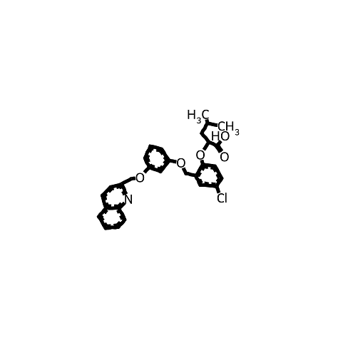 CC(C)CC(Oc1ccc(Cl)cc1COc1cccc(OCc2ccc3ccccc3n2)c1)C(=O)O